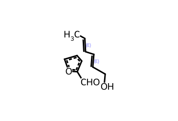 C/C=C/C=C/CO.O=Cc1ccco1